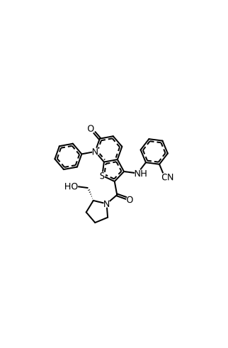 N#Cc1ccccc1Nc1c(C(=O)N2CCC[C@@H]2CO)sc2c1ccc(=O)n2-c1ccccc1